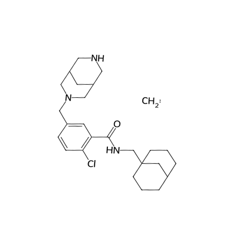 O=C(NCC12CCCC(CCC1)C2)c1cc(CN2CC3CNCC(C3)C2)ccc1Cl.[CH2]